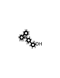 Oc1cccc(-c2ccc(-n3c4ccccc4c4ccccc43)cc2)c1